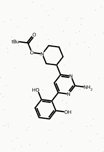 CC(C)(C)C(=O)ON1CCCC(c2cc(-c3c(O)cccc3O)nc(N)n2)C1